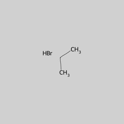 Br.CCC